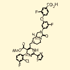 COC(=O)C1=C(CN2CCN3C(=O)N(c4cc(F)cc(Oc5ccc(C(=O)O)cc5F)c4)C[C@@H]3C2)NC(c2nccs2)=N[C@H]1c1cccc(F)c1Cl